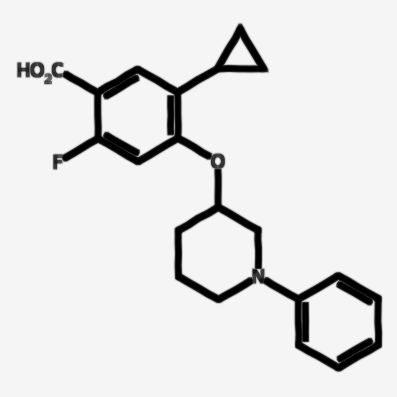 O=C(O)c1cc(C2CC2)c(OC2CCCN(c3ccccc3)C2)cc1F